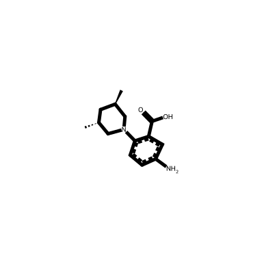 C[C@@H]1C[C@@H](C)CN(c2ccc(N)cc2C(=O)O)C1